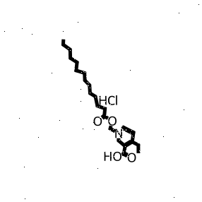 CCCCCCCCCCCCCC(=O)OCN1C=CC(CC)=C(C(=O)O)C1.Cl